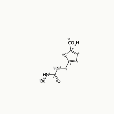 CCC(C)NC(=O)NCc1ccc(C(=O)O)s1